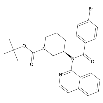 CC(C)(C)OC(=O)N1CCC[C@@H](N(C(=O)c2ccc(Br)cc2)c2nccc3ccccc23)C1